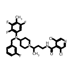 Cc1c(F)cc(N(Cc2cccc(F)c2)C2CCN(C(C)CCNC(=O)c3c(Cl)cncc3Cl)CC2)c(F)c1F